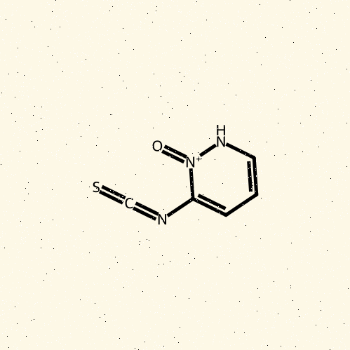 O=[n+]1[nH]cccc1N=C=S